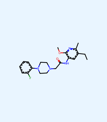 CCc1cc(NC(=O)CN2CCN(c3ccccc3F)CC2)c(OC)nc1C